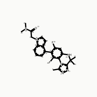 Cc1nnc2n1-c1c(cc(F)c(-c3cccc4c3ccn4CC(=O)N(C)C)c1F)NC2(C)C